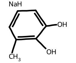 Cc1cccc(O)c1O.[NaH]